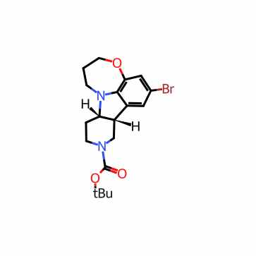 CC(C)(C)OC(=O)N1CC[C@H]2[C@@H](C1)c1cc(Br)cc3c1N2CCCO3